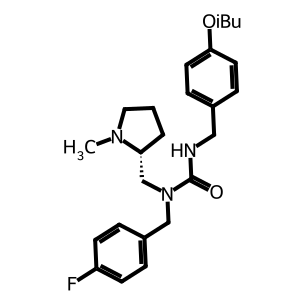 CC(C)COc1ccc(CNC(=O)N(Cc2ccc(F)cc2)C[C@H]2CCCN2C)cc1